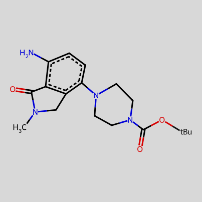 CN1Cc2c(N3CCN(C(=O)OC(C)(C)C)CC3)ccc(N)c2C1=O